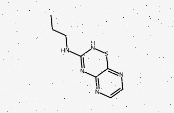 CCCNC1=Nc2nccnc2SN1